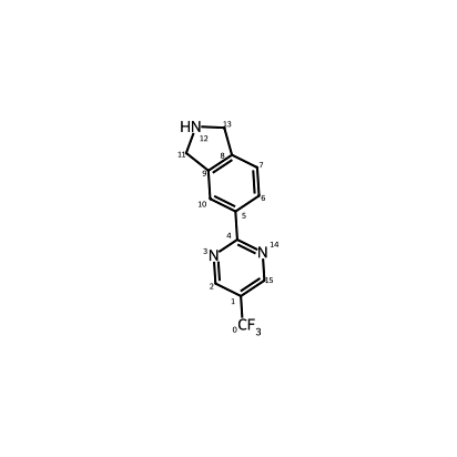 FC(F)(F)c1cnc(-c2ccc3c(c2)CNC3)nc1